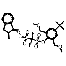 COCc1cc(C(C)(C)C)cc(COC)c1OS(=O)(=O)C(F)(F)S(=O)(=O)O/N=C1/c2ccccc2CC1C